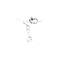 Cc1ccnc([C@H]2C[C@@H]2c2ccc3ccc(N4C[C@@H](O)C[C@@H]4c4cn5cc(C6CC6)ccc5n4)cc3n2)n1